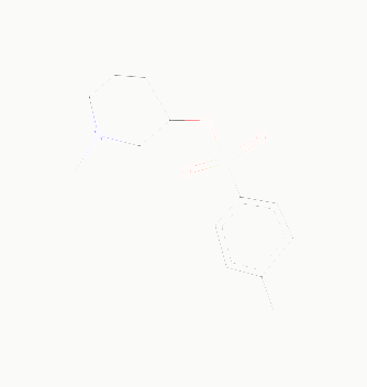 Cc1ccc(S(=O)(=O)OC2CCCN(C)C2)cc1